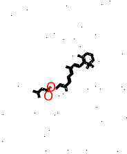 CC(C=CC1=C(C)CCCC1(C)C)=CC=CC(C)=CCOC(=O)CC(C)C